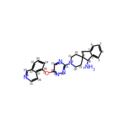 N[C@@H]1c2ccccc2CC12CCN(c1ncc(Oc3cccc4cnccc34)nn1)CC2